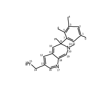 Cc1cc(C)c(C)c(C2(C)C=c3cc(CC(C)C)cnc3=CN2C)c1